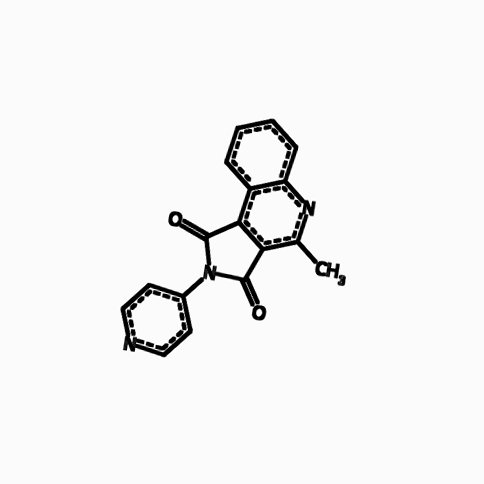 Cc1nc2ccccc2c2c1C(=O)N(c1ccncc1)C2=O